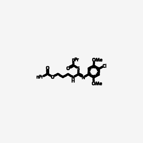 CCCC(=O)OCCCN/C(=N/c1cc(OC)c(Cl)cc1OC)SC(=O)CCC